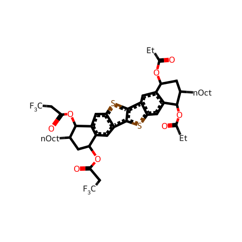 CCCCCCCCC1CC(OC(=O)CC)c2cc3c(cc2C1OC(=O)CC)sc1c2cc4c(cc2sc31)C(OC(=O)CC(F)(F)F)C(CCCCCCCC)CC4OC(=O)CC(F)(F)F